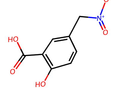 O=C(O)c1cc(C[N+](=O)[O-])ccc1O